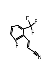 N#C/C=C/c1c(F)cccc1C(F)(F)F